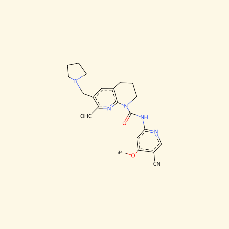 CC(C)Oc1cc(NC(=O)N2CCCc3cc(CN4CCCC4)c(C=O)nc32)ncc1C#N